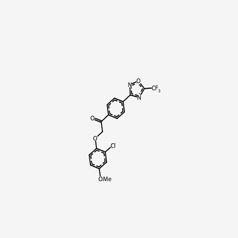 COc1ccc(OCC(=O)c2ccc(-c3noc(C(F)(F)F)n3)cc2)c(Cl)c1